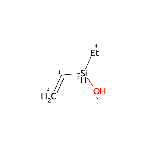 C=C[SiH](O)CC